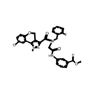 COC(=O)c1cccc(NC(=O)CN(Cc2ccccc2F)C(=O)c2nn(C)c3c2COc2ccc(Cl)cc2-3)c1